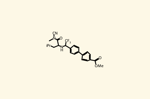 COC(=O)c1ccc(-c2ccc(C(NC(CC(C)C)C(=O)N(C)C#N)C(F)(F)F)cc2)cc1